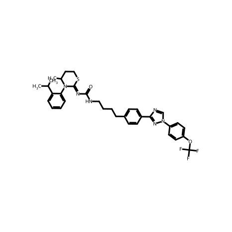 CC(C)c1ccccc1N1/C(=N/C(=O)NCCCCc2ccc(-c3ncn(-c4ccc(OC(F)(F)F)cc4)n3)cc2)SCCC1C